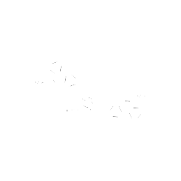 CCCCCCc1nc(SCc2ccc(-c3ccccc3C(=O)OC)cc2)nn1SCc1ccc(-c2ccccc2C(=O)OC)cc1